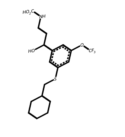 O=C(O)NCCC(O)c1cc(OC(F)(F)F)cc(SCC2CCCCC2)c1